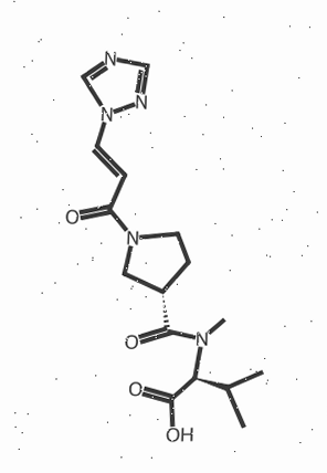 CC(C)[C@@H](C(=O)O)N(C)C(=O)[C@H]1CCN(C(=O)/C=C/n2cncn2)C1